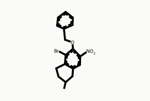 CC1CCc2c(cc([N+](=O)[O-])c(OCc3ccccc3)c2Br)C1